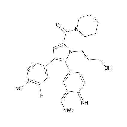 CN/C=C1/C=C(c2c(-c3ccc(C#N)c(F)c3)cc(C(=O)N3CCCCC3)n2CCCO)C=CC1=N